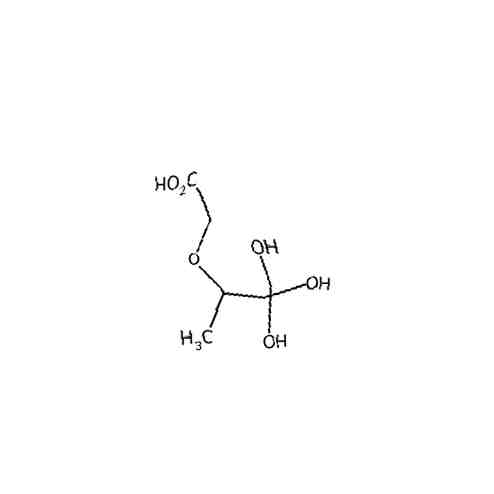 CC(OCC(=O)O)C(O)(O)O